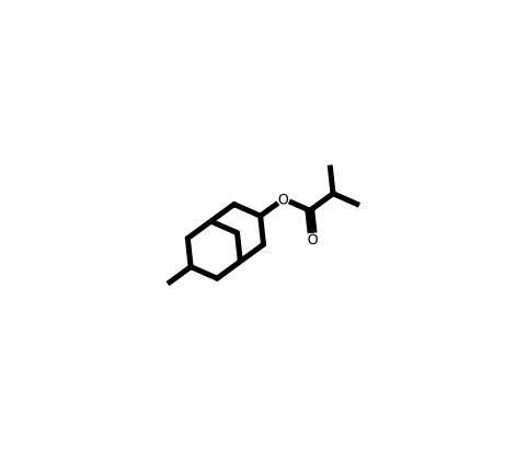 CC1CC2CC(C1)CC(OC(=O)C(C)C)C2